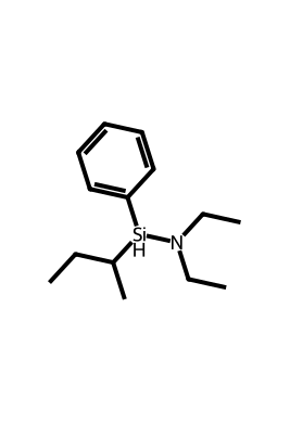 CCC(C)[SiH](c1ccccc1)N(CC)CC